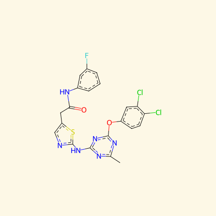 Cc1nc(Nc2ncc(CC(=O)Nc3cccc(F)c3)s2)nc(Oc2ccc(Cl)c(Cl)c2)n1